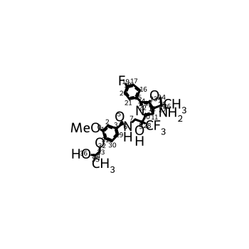 COc1cc(C(=O)NCC(O)(c2cc3c(c(-c4ccc(F)cc4)n2)OC[C@]3(C)N)C(F)(F)F)ccc1OC[C@H](C)O